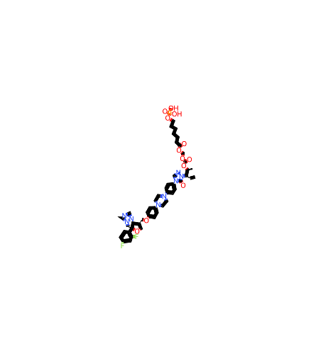 CC[C@@H]([C@H](C)OC(=O)OCOC(=O)CCCCCCOP(=O)(O)O)n1ncn(-c2ccc(N3CCN(c4ccc(OC[C@@H]5CO[C@@](Cn6cncn6)(c6ccc(F)cc6F)C5)cc4)CC3)cc2)c1=O